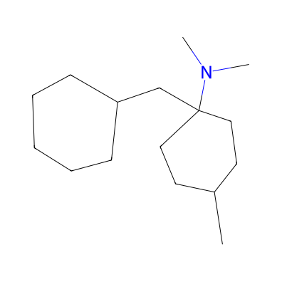 CC1CCC(CC2CCCCC2)(N(C)C)CC1